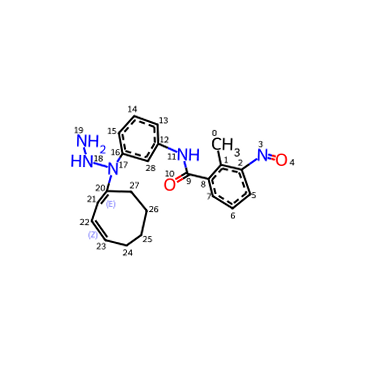 Cc1c(N=O)cccc1C(=O)Nc1cccc(N(NN)/C2=C/C=C\CCCC2)c1